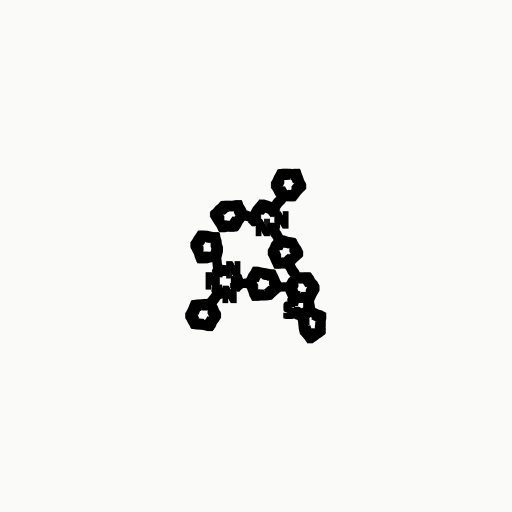 c1ccc(-c2cc(-c3ccccc3)nc(-c3ccc(-c4ccc5c(sc6ccccc65)c4-c4ccc(-c5nc(-c6ccccc6)nc(-c6ccccc6)n5)cc4)cc3)n2)cc1